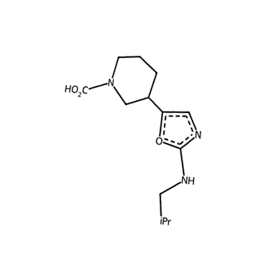 CC(C)CNc1ncc(C2CCCN(C(=O)O)C2)o1